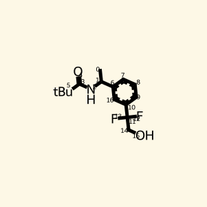 CC(NC(=O)C(C)(C)C)c1cccc(C(F)(F)CO)c1